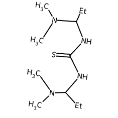 CCC(NC(=S)NC(CC)N(C)C)N(C)C